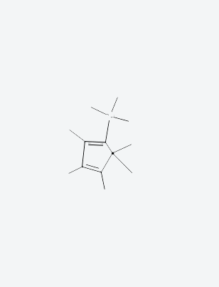 CC1=C(C)C(C)(C)C([N+](C)(C)C)=C1C.[Ti]